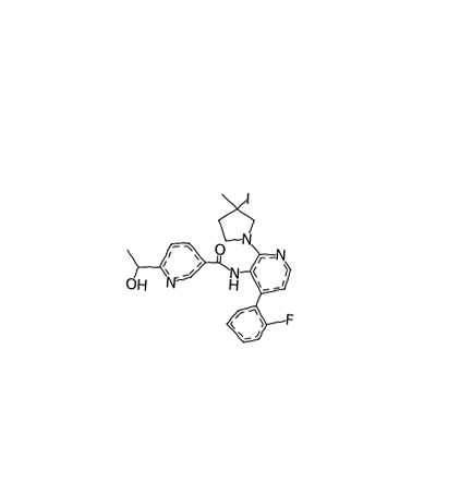 CC(O)c1ccc(C(=O)Nc2c(-c3ccccc3F)ccnc2N2CCC(C)(I)C2)cn1